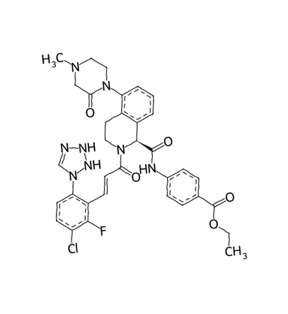 CCOC(=O)c1ccc(NC(=O)[C@@H]2c3cccc(N4CCN(C)CC4=O)c3CCN2C(=O)/C=C/c2c(N3C=NNN3)ccc(Cl)c2F)cc1